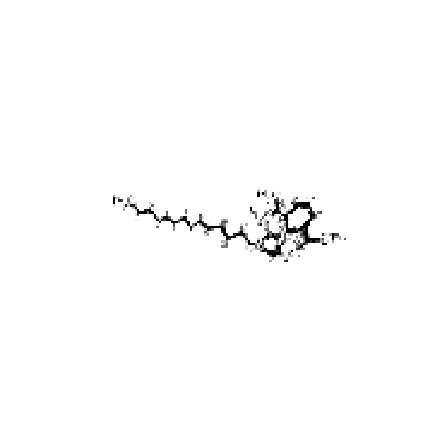 CCCCCCCCCCCCCCn1cc[n+](-c2c(C(C)C)cccc2C(C)C)c1